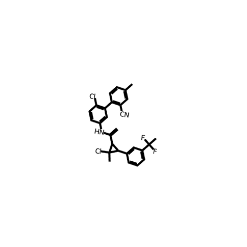 C=C(Nc1ccc(Cl)c(-c2ccc(C)cc2C#N)c1)C1C(c2cccc(C(C)(F)F)c2)C1(C)Cl